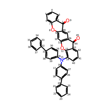 O=c1c2ccccc2oc2cc3oc4c(N(c5ccc(-c6ccccc6)cc5)c5ccc(-c6ccccc6)cc5)cccc4c(=O)c3cc12